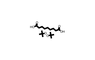 CC(C)(C)OOC(C)(C)C.O=C(O)CCCCCCCC(=O)O